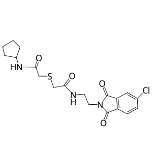 O=C(CSCC(=O)NC1CCCC1)NCCN1C(=O)c2ccc(Cl)cc2C1=O